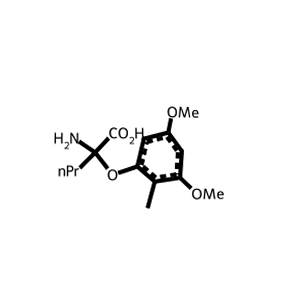 CCCC(N)(Oc1cc(OC)cc(OC)c1C)C(=O)O